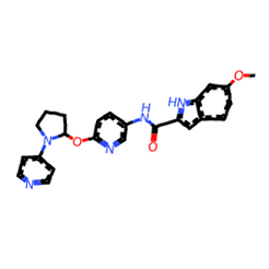 COc1ccc2cc(C(=O)Nc3ccc(OC4CCCN4c4ccncc4)nc3)[nH]c2c1